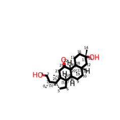 C[C@H](CO)[C@H]1CC[C@H]2[C@@H]3CC[C@H]4C[C@@](C)(O)CC[C@]4(C)[C@H]3C(=O)C[C@]12C